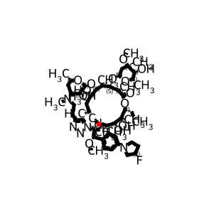 CC[C@H]1OC(=O)[C@H](C)[C@@H](O[C@H]2C[C@@](C)(OC)[C@@H](O)[C@H](C)O2)[C@H](C)[C@@H](O[C@@H]2O[C@H](C)C[C@H](N(C)CCc3cn([C@H](CF)[C@H](OC)c4ccc(N5CC[C@@H](F)C5)cc4)nn3)[C@H]2O)[C@](C)(O)C[C@@H](C)CN(C)[C@H](C)[C@@H](O)[C@]1(C)O